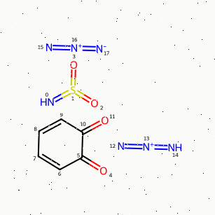 N=S(=O)=O.O=C1C=CC=CC1=O.[N-]=[N+]=N.[N-]=[N+]=[N-]